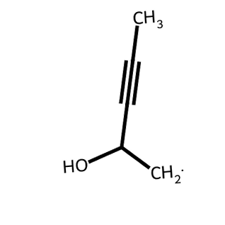 [CH2]C(O)C#CC